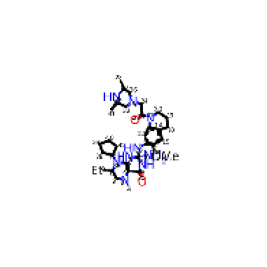 CCC1CN(C)C2=C(N[C@@](N)(Nc3cc4c(cc3OC)CCCN4C(=O)CN3CC(C)NC(C)C3)NC2=O)N1C1CCCC1